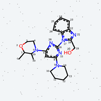 CC1OCCN(c2cc(N3CCCCC3)nc(-n3c(CO)nc4ccccc43)n2)C1C